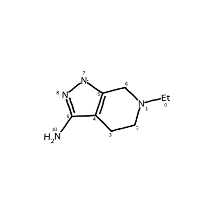 CCN1CCC2=C(C1)[N]N=C2N